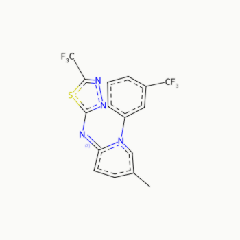 Cc1cc/c(=N/c2nnc(C(F)(F)F)s2)n(-c2cccc(C(F)(F)F)c2)c1